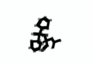 CC(C)C[C@@](C)(C=O)NP(=S)(c1ccccc1)c1ccccc1